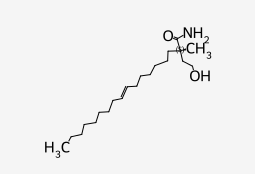 CCCCCCCCC=CCCCCCC[C@@](C)(CCO)C(N)=O